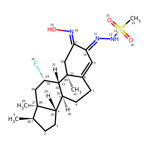 C[C@@H]1CC[C@H]2[C@@H]3CCC4=CC(=NNS(C)(=O)=O)C(=NO)C[C@]4(C)[C@H]3[C@@H](F)C[C@]12C